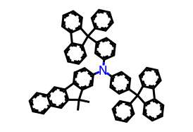 CC1(C)c2cc(N(c3ccc(C4(c5ccccc5)c5ccccc5-c5ccccc54)cc3)c3cccc(C4(c5ccccc5)c5ccccc5-c5ccccc54)c3)ccc2-c2cc3ccccc3cc21